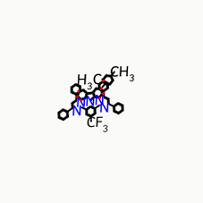 Cc1ccc(-c2ccc3c(c2)c2ccccc2n3-c2c(-c3nc(-c4ccccc4)cc(-c4ccccc4)n3)cc(C(F)(F)F)cc2-c2nc(-c3ccccc3)cc(-c3ccccc3)n2)c(C)c1